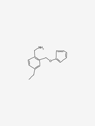 CCc1ccc(CN)c(COc2ccccc2)c1